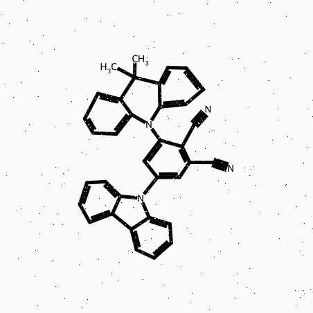 CC1(C)c2ccccc2N(c2cc(-n3c4ccccc4c4ccccc43)cc(C#N)c2C#N)c2ccccc21